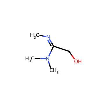 CN=C(CO)N(C)C